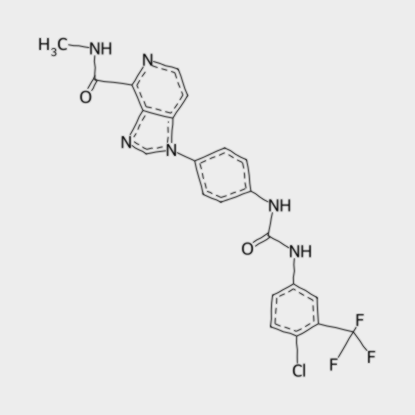 CNC(=O)c1nccc2c1ncn2-c1ccc(NC(=O)Nc2ccc(Cl)c(C(F)(F)F)c2)cc1